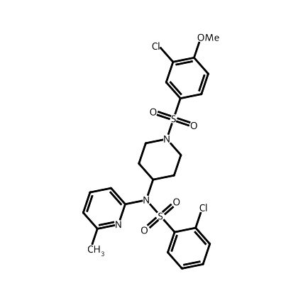 COc1ccc(S(=O)(=O)N2CCC(N(c3cccc(C)n3)S(=O)(=O)c3ccccc3Cl)CC2)cc1Cl